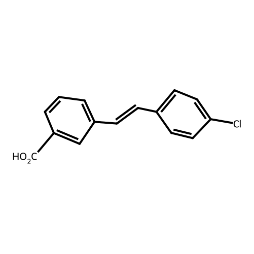 O=C(O)c1cccc(/C=C/c2ccc(Cl)cc2)c1